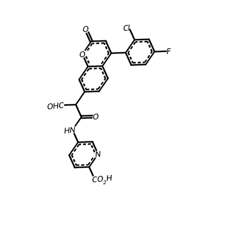 O=CC(C(=O)Nc1ccc(C(=O)O)nc1)c1ccc2c(-c3ccc(F)cc3Cl)cc(=O)oc2c1